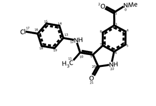 CNC(=O)c1ccc2c(c1)C(=C(C)Nc1ccc(Cl)cc1)C(=O)N2